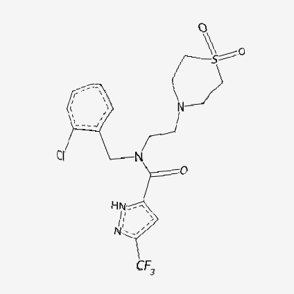 O=C(c1cc(C(F)(F)F)n[nH]1)N(CCN1CCS(=O)(=O)CC1)Cc1ccccc1Cl